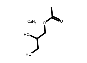 CC(=O)OCC(O)CO.[CaH2]